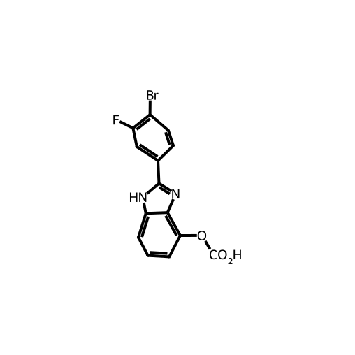 O=C(O)Oc1cccc2[nH]c(-c3ccc(Br)c(F)c3)nc12